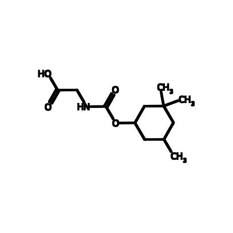 CC1CC(OC(=O)NCC(=O)O)CC(C)(C)C1